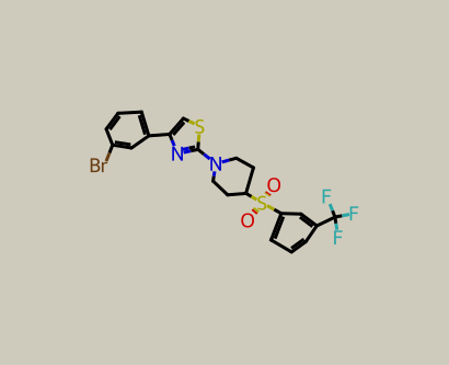 O=S(=O)(c1cccc(C(F)(F)F)c1)C1CCN(c2nc(-c3cccc(Br)c3)cs2)CC1